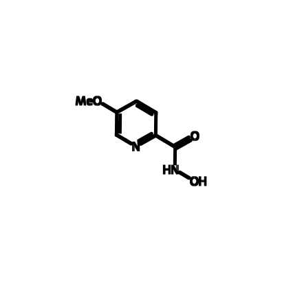 COc1ccc(C(=O)NO)nc1